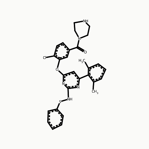 Cc1cccc(C)c1-c1cc(Oc2cc(C(=O)N3CCNCC3)ccc2Cl)nc(NSc2ccccc2)n1